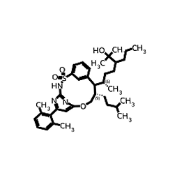 CCCC(CC[C@H](C)C1c2cccc(c2)S(=O)(=O)Nc2nc(cc(-c3c(C)cccc3C)n2)OC[C@H]1CCC(C)C)C(C)(C)O